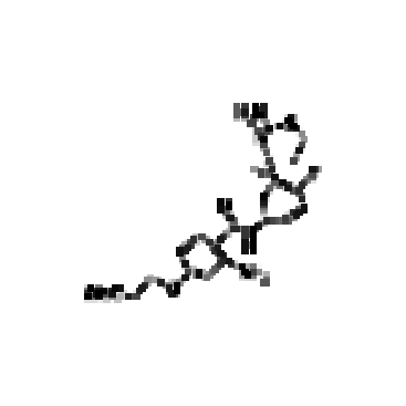 COCCOc1ccc(C(=O)Nc2ccc(F)c([C@]3(C)CCSC(N)=N3)c2)c(N)c1